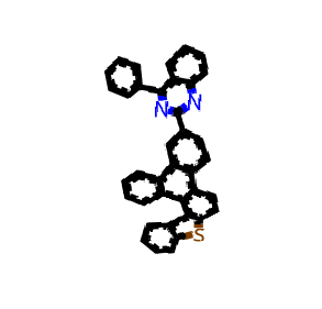 c1ccc(-c2nc(-c3ccc4c(c3)c3ccccc3c3c4ccc4sc5ccccc5c43)nc3ccccc23)cc1